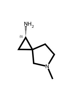 CN1CCC2(C[C@@H]2N)C1